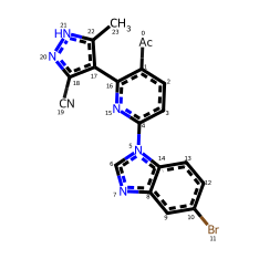 CC(=O)c1ccc(-n2cnc3cc(Br)ccc32)nc1-c1c(C#N)n[nH]c1C